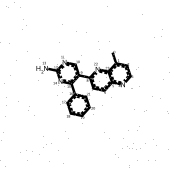 Cc1ccnc2ccc(-c3cnc(N)nc3-c3ccccc3)nc12